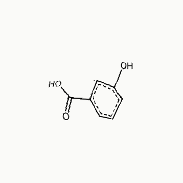 O=C(O)c1[c]c(O)ccc1